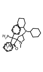 CN1CC(P(C2CCCCC2)C2CCCCC2)CC1(C(N)=O)C(P)(c1ccccc1)c1ccccc1